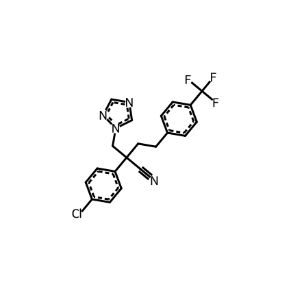 N#CC(CCc1ccc(C(F)(F)F)cc1)(Cn1cncn1)c1ccc(Cl)cc1